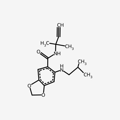 C#CC(C)(C)NC(=O)c1cc2c(cc1NCC(C)C)OCO2